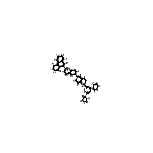 c1ccc(-c2cc(-c3ccc4cc(-c5ccc6nc(-c7cc8ccccc8c8ccccc78)ccc6c5)ccc4n3)nc(-c3ccccc3)n2)cc1